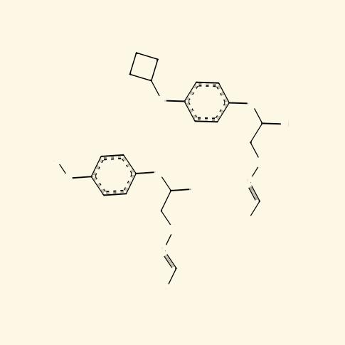 CCC=NOCC(C)Oc1ccc(OC2CCC2)cc1.CCC=NOCC(C)Oc1ccc(SC(C)CC)cc1